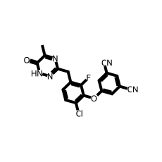 Cc1nc(Cc2ccc(Cl)c(Oc3cc(C#N)cc(C#N)c3)c2F)n[nH]c1=O